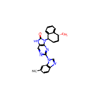 N#Cc1ccc2ncn(-c3ncc4[nH]c(=O)n(C5CC[C@@H](O)c6ccccc65)c4n3)c2c1